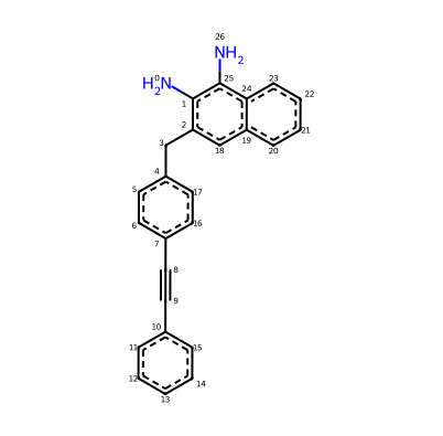 Nc1c(Cc2ccc(C#Cc3ccccc3)cc2)cc2ccccc2c1N